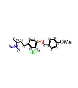 COc1ccc(COc2ccc(CCC(C)N(C)C)cc2)cc1.Cl